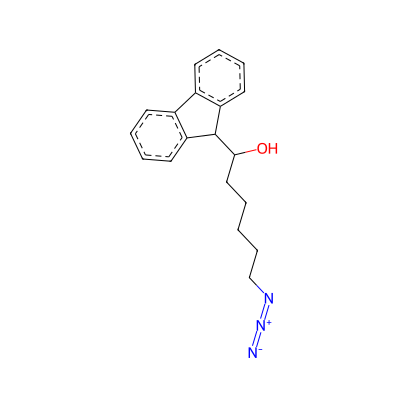 [N-]=[N+]=NCCCCCC(O)C1c2ccccc2-c2ccccc21